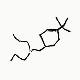 CCCN(CCC)CC1CC=C(C(C)(C)C)CC1